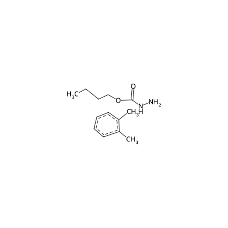 CCCCOC(=O)NN.Cc1ccccc1C